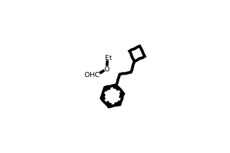 CCOC=O.c1ccc(CCC2CCC2)cc1